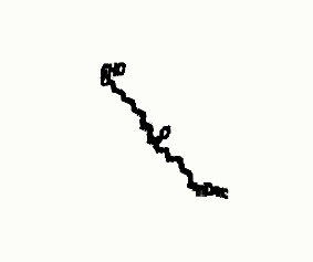 CCCCCCCCCCCCCCCCCC(=O)CCCCCCCCCCOC=O